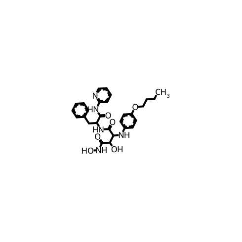 CCCCOc1ccc(NC(C(=O)NC(Cc2ccccc2)C(=O)Nc2ccccn2)C(O)C(=O)NO)cc1